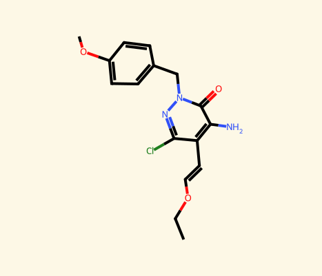 CCO/C=C/c1c(Cl)nn(Cc2ccc(OC)cc2)c(=O)c1N